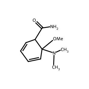 COC1(N(C)C)C=CC=CC1C(N)=O